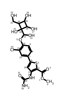 COC(=O)c1sc(-c2ccc(OC(O)C3(O)C(O)C(O)C3CO)c(Cl)c2)cc1NC(N)=O